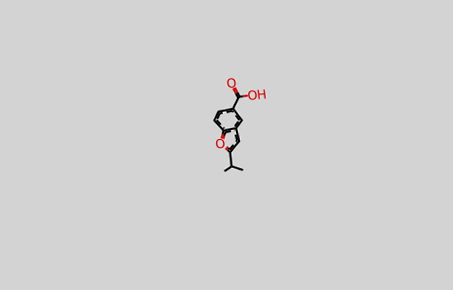 CC(C)c1cc2cc(C(=O)O)ccc2o1